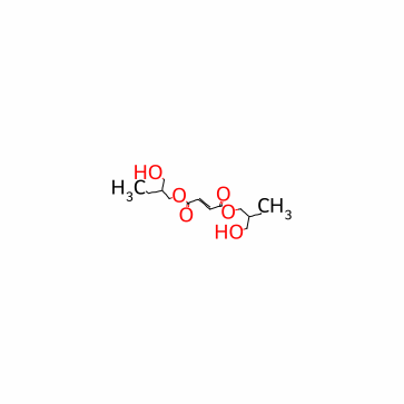 CCC(CO)COC(=O)C=CC(=O)OCC(CC)CO